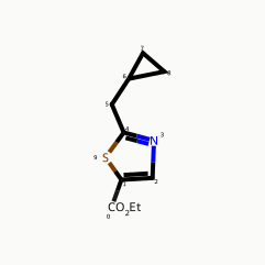 CCOC(=O)c1cnc(CC2CC2)s1